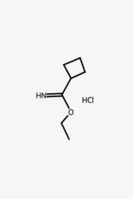 CCOC(=N)C1CCC1.Cl